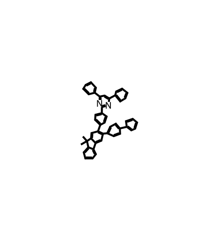 CC1(C)c2ccccc2-c2cc(-c3ccc(-c4ccccc4)cc3)c(-c3ccc(-c4nc(-c5ccccc5)cc(-c5ccccc5)n4)cc3)cc21